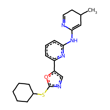 CC1C=C(Nc2cccc(-c3cnc(SC4CCCCC4)o3)n2)N=CC1